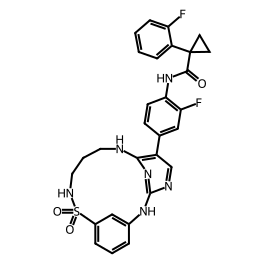 O=C(Nc1ccc(-c2cnc3nc2NCCCNS(=O)(=O)c2cccc(c2)N3)cc1F)C1(c2ccccc2F)CC1